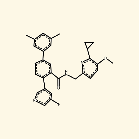 COc1ccc(CNC(=O)c2cc(-c3cc(C)cc(C)c3)ccc2-c2cncc(F)c2)nc1C1CC1